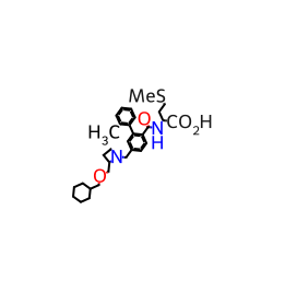 CSCCC(NC(=O)c1ccc(CN2CCC2COCC2CCCCC2)cc1-c1ccccc1C)C(=O)O